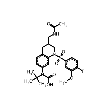 COc1cc(S(=O)(=O)N2CC(CNC(C)=O)Cc3ccc(N(C(=O)O)C(C)(C)C)cc32)ccc1F